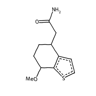 COC1CCC(CC(N)=O)c2ccsc21